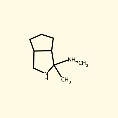 CNC1(C)NCC2CCCC21